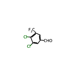 O=Cc1cc(Cl)c(Cl)c(C(F)(F)F)c1